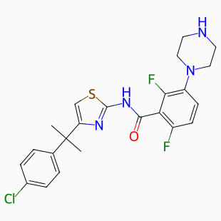 CC(C)(c1ccc(Cl)cc1)c1csc(NC(=O)c2c(F)ccc(N3CCNCC3)c2F)n1